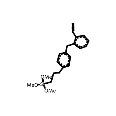 C=Cc1ccccc1Cc1ccc(CCC[Si](OC)(OC)OC)cc1